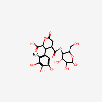 Cc1c(C2C(C(=O)OC3[C@@H](O)C(O)[C@H](O)O[C@@H]3CO)CC(=O)OC2C(=O)O)cc(O)c(O)c1O